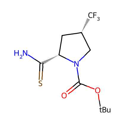 CC(C)(C)OC(=O)N1C[C@@H](C(F)(F)F)C[C@H]1C(N)=S